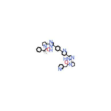 [CH2][C@@H](C(=O)N1CCC[C@H]1c1ncc(-c2ccc(-c3ccc(-c4cnc([C@@H]5CCCN5C(=O)Cc5cccnc5)[nH]4)cn3)cc2)[nH]1)c1ccccc1